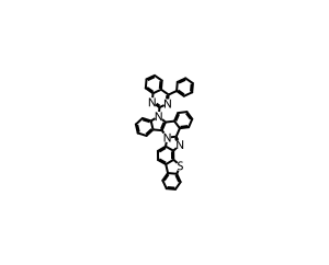 c1ccc(-c2nc(-n3c4ccccc4c4c3c3ccccc3c3nc5c6sc7ccccc7c6ccc5n34)nc3ccccc23)cc1